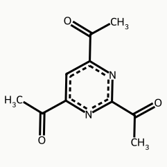 CC(=O)c1cc(C(C)=O)nc(C(C)=O)n1